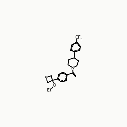 C=C(c1ccc(C2(OCC)CSC2)cc1)N1CCC(c2ccc(C(F)(F)F)cc2)CC1